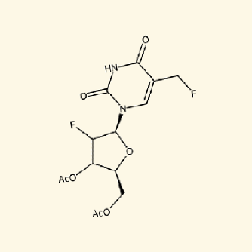 CC(=O)OC[C@@H]1O[C@H](n2cc(CF)c(=O)[nH]c2=O)C(F)C1OC(C)=O